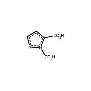 O=C(O)c1ccnn1C(=O)O